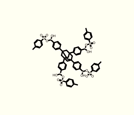 Cc1ccc(S(=O)(=O)OI(O)c2ccc(C34CC5(c6ccc(I(O)OS(=O)(=O)c7ccc(C)cc7)cc6)CC(c6ccc(I(O)OS(=O)(=O)c7ccc(C)cc7)cc6)(C3)CC(c3ccc(I(O)OS(=O)(=O)c6ccc(C)cc6)cc3)(C4)C5)cc2)cc1